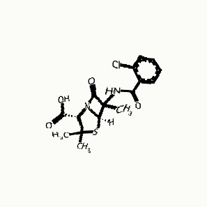 CC1(C)S[C@H]2N(C(=O)C2(C)NC(=O)c2ccccc2Cl)[C@H]1C(=O)O